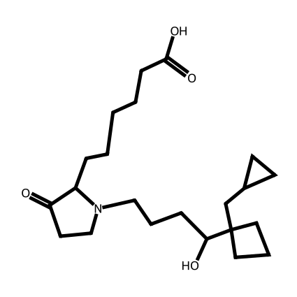 O=C(O)CCCCCC1C(=O)CCN1CCCC(O)C1(CC2CC2)CCC1